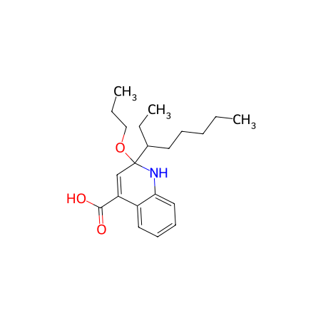 CCCCCC(CC)C1(OCCC)C=C(C(=O)O)c2ccccc2N1